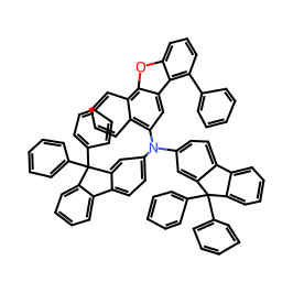 c1ccc(-c2cccc3oc4c5ccccc5c(N(c5ccc6c(c5)C(c5ccccc5)(c5ccccc5)c5ccccc5-6)c5ccc6c(c5)C(c5ccccc5)(c5ccccc5)c5ccccc5-6)cc4c23)cc1